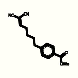 COC(=O)c1ccc(CCCCC=C(C#N)C#N)cc1